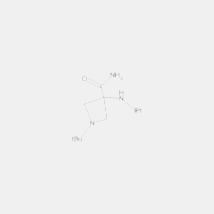 CC(C)NC1(C(N)=O)CN(C(C)(C)C)C1